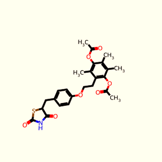 CC(=O)Oc1c(C)c(C)c(OC(C)=O)c(CCOc2ccc(CC3SC(=O)NC3=O)cc2)c1C